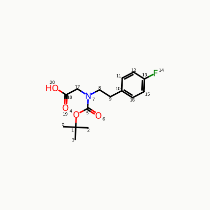 CC(C)(C)OC(=O)N(CCc1ccc(F)cc1)CC(=O)O